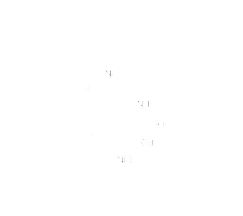 O=C(O)[C@H](Cc1c[nH]c2ccccc12)Nc1c2ccccc2nc2ccccc12